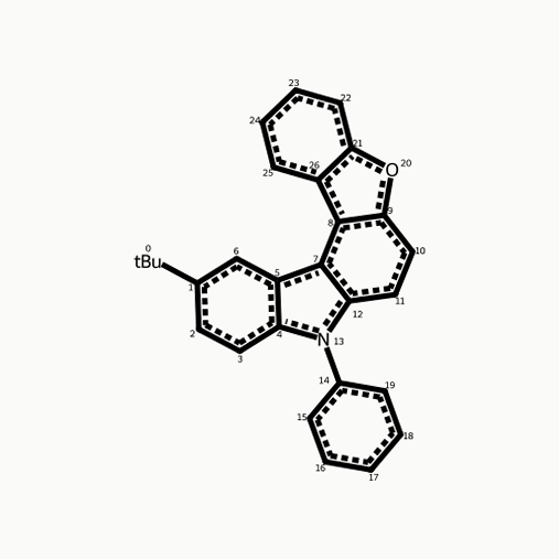 CC(C)(C)c1ccc2c(c1)c1c3c(ccc1n2-c1ccccc1)oc1ccccc13